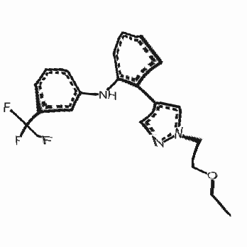 CCOCCn1cc(-c2ccccc2Nc2cccc(C(F)(F)F)c2)cn1